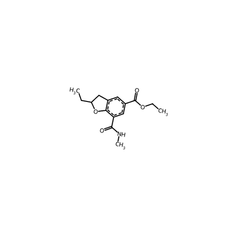 CCOC(=O)c1cc2c(c(C(=O)NC)c1)OC(CC)C2